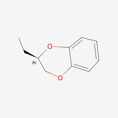 CC[C@@H]1COc2ccccc2O1